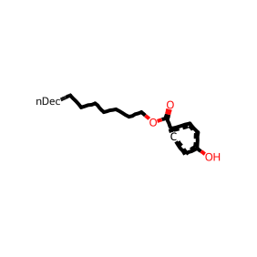 CCCCCCCCCCCCCCCCCOC(=O)c1ccc(O)cc1